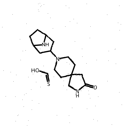 O=C1CC2(CCN(C3CC4CCC(C3)N4)CC2)CN1.OC=S